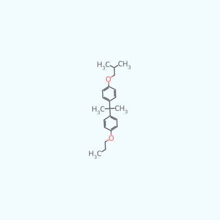 CCCOc1ccc(C(C)(C)c2ccc(OCC(C)C)cc2)cc1